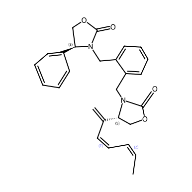 C=C(/C=C\C=C/C)[C@H]1COC(=O)N1Cc1ccccc1CN1C(=O)OC[C@@H]1c1ccccc1